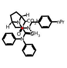 CCCc1ccc(CN(C)C(=O)N2[C@H]3CC[C@@H]2[C@@H](C(=O)O)N(C(=O)N(c2ccccc2)c2ccccc2)C3)cc1